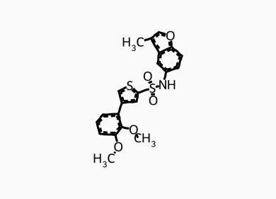 COc1cccc(-c2csc(S(=O)(=O)Nc3ccc4occ(C)c4c3)c2)c1OC